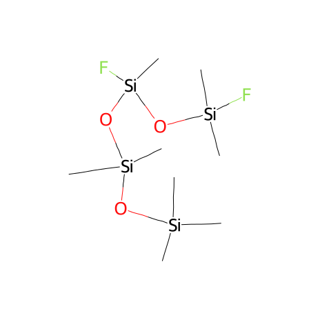 C[Si](C)(C)O[Si](C)(C)O[Si](C)(F)O[Si](C)(C)F